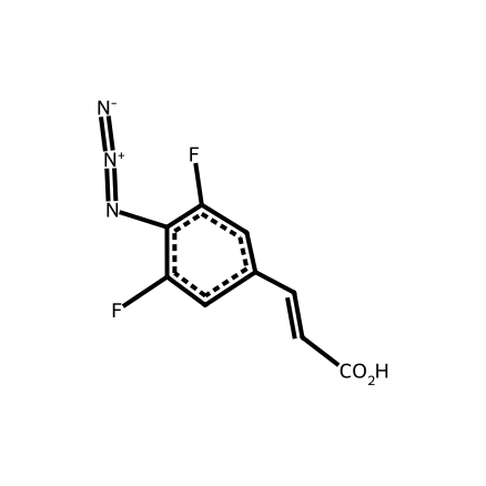 [N-]=[N+]=Nc1c(F)cc(/C=C/C(=O)O)cc1F